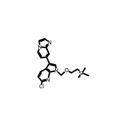 C[Si](C)(C)CCOCn1cc(-c2ccn3ccnc3c2)c2ccc(Cl)nc21